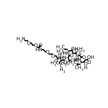 CC(C)C[C@H](NC(=O)[C@H](C)NC(=O)C[C@H](O)[C@H](CC(C)C)NC(=O)[C@@H](NC(=O)[C@@H](NC(=O)COCCOCCNC(=O)COCCOCCN)C(C)C)C(C)C)[C@@H](O)CC(=O)O